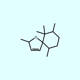 CC1C=CC2(O1)C(C)CCC(C)C2(C)C